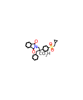 O=C1c2ccccc2C(=O)N1CC(Cc1ccccc1)(C(=O)O)c1ccc(S(=O)(=O)CC2CC2)cc1